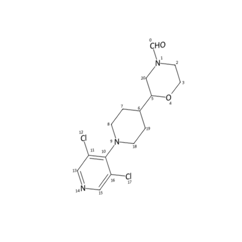 O=CN1CCOC(C2CCN(c3c(Cl)cncc3Cl)CC2)C1